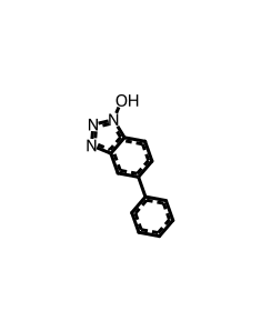 On1nnc2cc(-c3ccccc3)ccc21